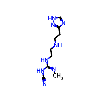 CN=C(NC#N)NCCNCCc1nc[nH]n1